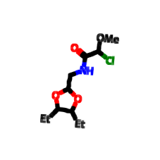 CCC1OC(CNC(=O)C(Cl)OC)OC1CC